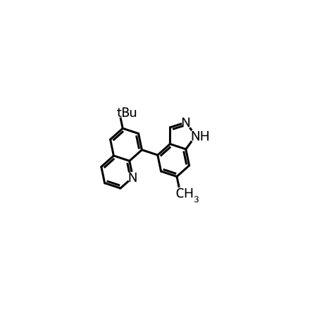 Cc1cc(-c2cc(C(C)(C)C)cc3cccnc23)c2cn[nH]c2c1